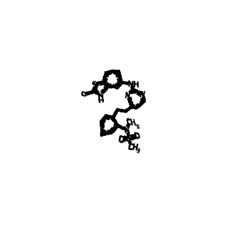 CN(c1ccccc1CCc1ccnc(Nc2ccc3sc(=O)[nH]c3c2)n1)S(C)(=O)=O